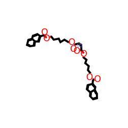 O=C(/C=C\C(=O)OCCCCCCOC(=O)c1ccc2ccccc2c1)OCCCCCCOC(=O)c1ccc2ccccc2c1